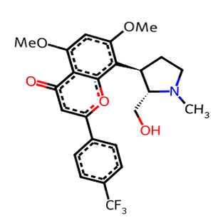 COc1cc(OC)c2c(=O)cc(-c3ccc(C(F)(F)F)cc3)oc2c1[C@H]1CCN(C)[C@@H]1CO